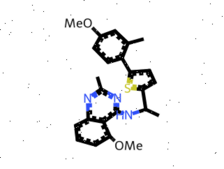 COc1ccc(-c2ccc(C(C)Nc3nc(C)nc4cccc(OC)c34)s2)c(C)c1